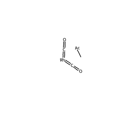 CC(C)=O.O=[C]=[Rh]=[C]=O